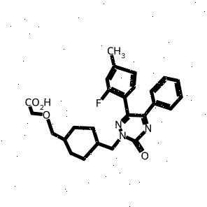 Cc1ccc(-c2nn(CC3CCC(COCC(=O)O)CC3)c(=O)nc2-c2ccccc2)c(F)c1